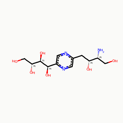 N[C@H](CO)[C@H](O)Cc1cnc([C@@H](O)[C@H](O)[C@H](O)CO)cn1